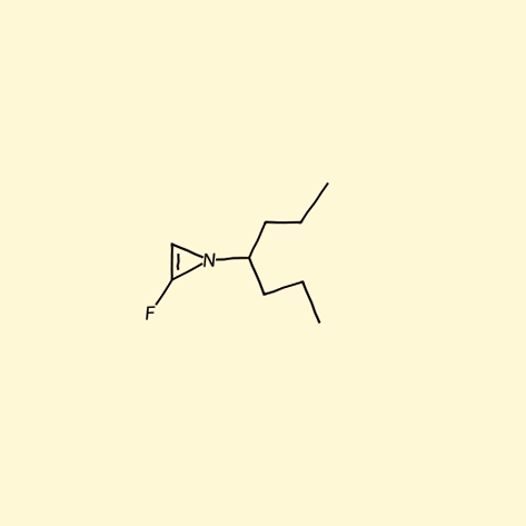 CCCC(CCC)N1C=C1F